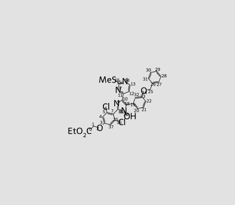 CCOC(=O)COc1cc(Cl)c(-c2nc(-c3ccnc(SC)n3)c(-c3cccc(OCc4ccccc4)c3)n2O)c(Cl)c1